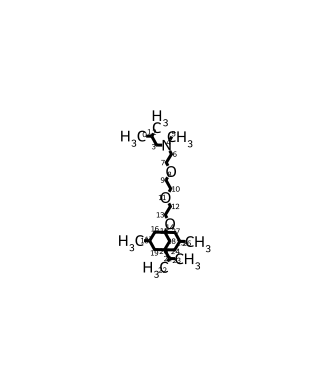 CC(C)CN(C)CCOCCOCCOC12CC(C)CC(C(C)C)(CC(C)C1)C2